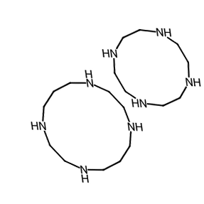 C1CNCCNCCCNCCNC1.C1CNCCNCCNCCN1